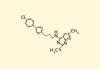 CSc1nc(NCCCc2ccc(-c3ccc(Cl)cc3)cc2)c2cc(C)sc2n1